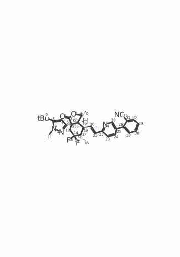 C[C@H]1OC(=O)[C@]2(c3cc(C(C)(C)C)n(C)n3)CC(F)(F)[C@@H](C)[C@H](/C=C/c3ccc(-c4ccccc4C#N)cn3)[C@H]12